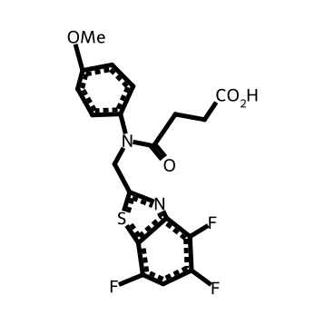 COc1ccc(N(Cc2nc3c(F)c(F)cc(F)c3s2)C(=O)CCC(=O)O)cc1